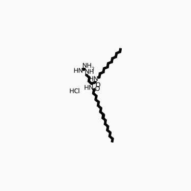 CCCCCCCC/C=C/CCCCCCCC(=O)NC(CCCNC(=N)N)C(=O)NCCCCCCCCCCCC.Cl